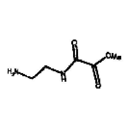 COC(=O)C(=O)NCCN